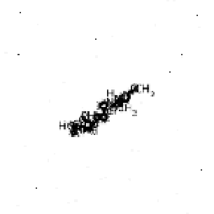 COCCN1CCc2c(nc(C(=O)Nc3cccc(-c4cccc5c4CCC5Oc4cc(OC)c(CNC5(C(=O)O)CCC5)c(F)c4Cl)c3Cl)n2C)C1